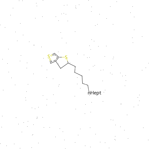 CCCCCCCCCCCCC1Cc2cscc2S1